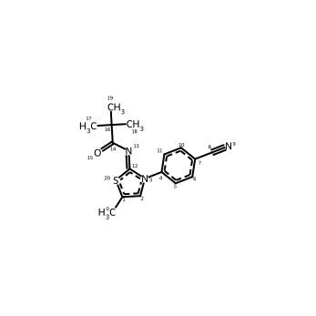 Cc1cn(-c2ccc(C#N)cc2)c(=NC(=O)C(C)(C)C)s1